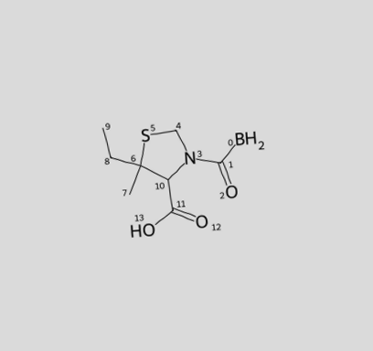 BC(=O)N1CSC(C)(CC)C1C(=O)O